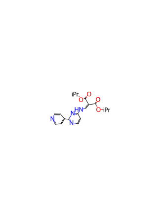 CC(C)OC(=O)C(=CNc1ccnc(-c2ccncc2)n1)C(=O)OC(C)C